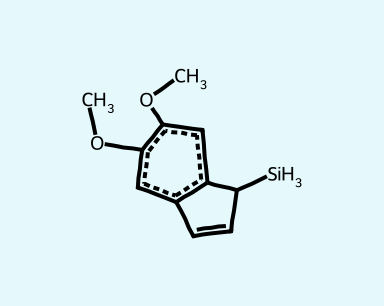 COc1cc2c(cc1OC)C([SiH3])C=C2